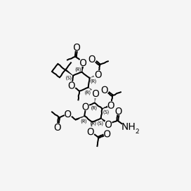 CC(=O)OC[C@H]1O[C@H](O[C@@H]2C(C)O[C@@H](C3(C)CCC3)[C@@H](OC(C)=O)[C@@H]2OC(C)=O)[C@@H](OC(C)=O)[C@@H](OC(N)=O)[C@@H]1OC(C)=O